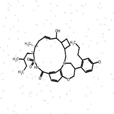 CCCc1cc(Cl)ccc1C1COc2ccc3cc2N(C1)CC1CCC1C(O)/C=C/C[C@@H](C)[C@H](CC(C)CC)S(=O)(=O)NC3=O